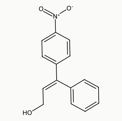 O=[N+]([O-])c1ccc(C(=CCO)c2ccccc2)cc1